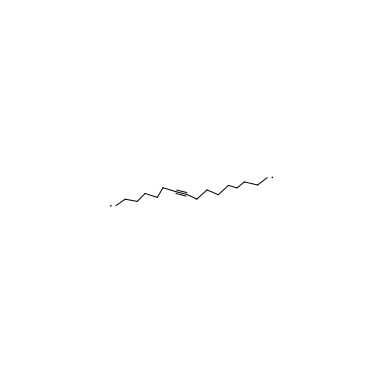 [CH2]CCCCCC#CCCCCCCC[CH2]